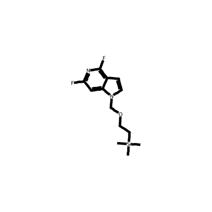 C[Si](C)(C)CCOCn1ccc2c(F)nc(F)cc21